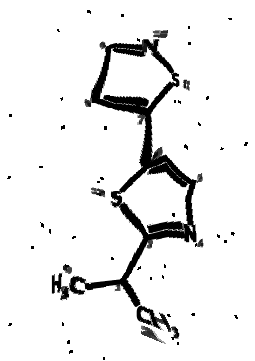 CC(C)c1ncc(-c2ccns2)s1